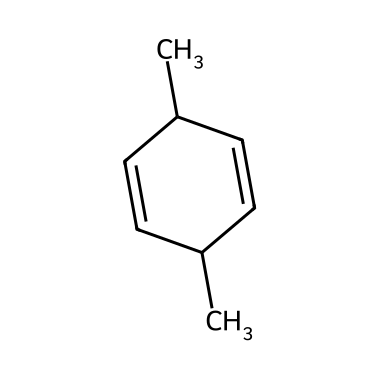 CC1C=CC(C)C=C1